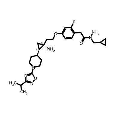 CC(C)c1noc(N2CCC([C@H]3C[C@@]3(N)CCOc3ccc(CC(=O)N(N)CC4CC4)c(F)c3)CC2)n1